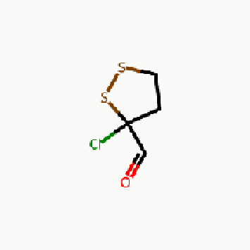 O=CC1(Cl)CCSS1